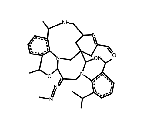 CN=[N+]=C1CN(c2c(C(C)C)cccc2C(C)C)C(O)C23CC(C=O)=NC(CNC(C)c4cccc5c4N(C2)C1OC5C)C3